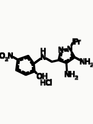 CC(C)n1nc(CNc2cc([N+](=O)[O-])ccc2O)c(N)c1N.Cl